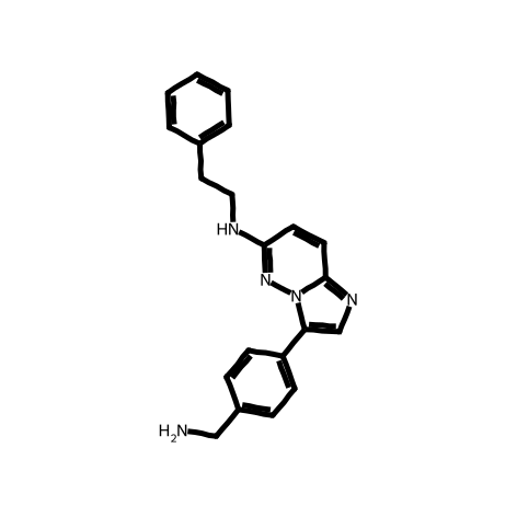 NCc1ccc(-c2cnc3ccc(NCCc4ccccc4)nn23)cc1